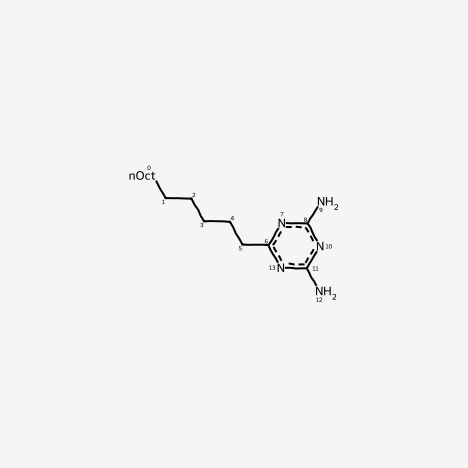 CCCCCCCCCCCCCc1nc(N)nc(N)n1